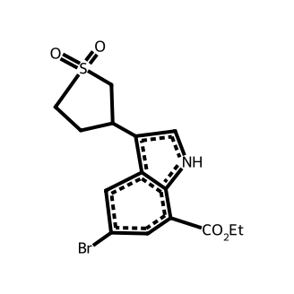 CCOC(=O)c1cc(Br)cc2c(C3CCS(=O)(=O)C3)c[nH]c12